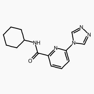 O=C(NC1CCCCC1)c1cccc(-n2cnnc2)n1